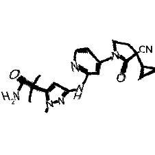 Cn1nc(Nc2cc(N3CC[C@@](C#N)(C4CC4)C3=O)ccn2)cc1C(C)(C)C(N)=O